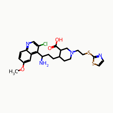 COc1ccc2ncc(Cl)c(C(N)CCC3CCN(CCSc4nccs4)CC3C(=O)O)c2c1